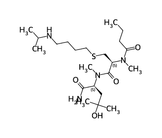 CCCC(=O)N(C)[C@H](CSCCCCNC(C)C)C(=O)N(C)[C@@H](CC(C)(C)O)C(N)=O